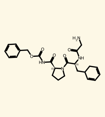 NCC(=O)N[C@@H](CC1C=CC=CC1)C(=O)N1CCC[C@H]1C(=O)NC(=O)OCc1ccccc1